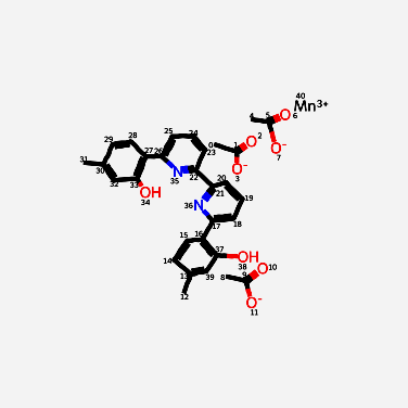 CC(=O)[O-].CC(=O)[O-].CC(=O)[O-].Cc1ccc(-c2cccc(-c3cccc(-c4ccc(C)cc4O)n3)n2)c(O)c1.[Mn+3]